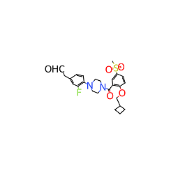 CS(=O)(=O)c1ccc(OCC2CCC2)c(C(=O)N2CCN(c3ccc(CC=O)cc3F)CC2)c1